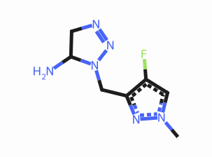 Cn1cc(F)c(CN2N=NCC2N)n1